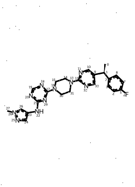 C[C@@H](c1ccc(F)cc1)c1cnc(N2CCN(c3ncnc(Nc4cnn(C)c4)n3)CC2)nc1